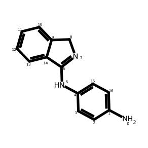 Nc1ccc(NC2=NCc3ccccc32)cc1